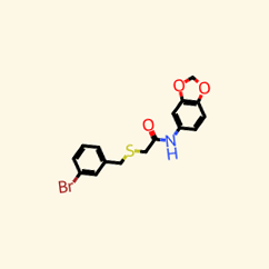 O=C(CSCc1cccc(Br)c1)Nc1ccc2c(c1)OCO2